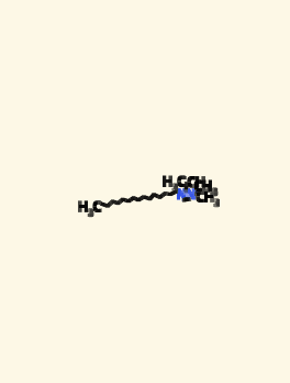 CCCCCCCCCCCCCCCCn1cc[n+](C(C)C)c1C(C)C